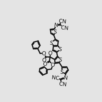 N#CC(C#N)=Nc1ccc(-c2cc3c(s2)-c2sc4cc(-c5ccc(N=C(C#N)C#N)s5)sc4c2OC3(C(=O)OCc2ccccc2)C(=O)OCc2ccccc2)s1